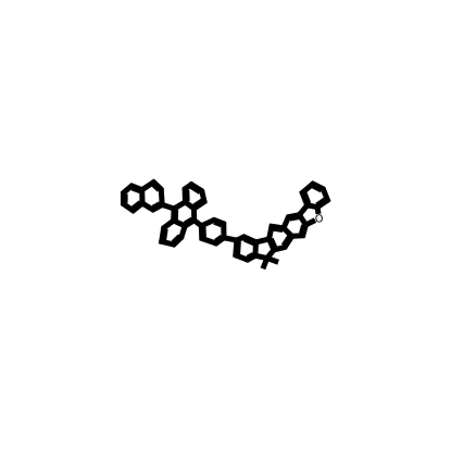 CC1(C)c2ccc(-c3ccc(-c4c5ccccc5c(-c5ccc6ccccc6c5)c5ccccc45)cc3)cc2-c2cc3cc4c(cc3cc21)oc1ccccc14